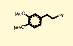 [CH2]C(C)CCc1ccc(OC)c(OC)c1